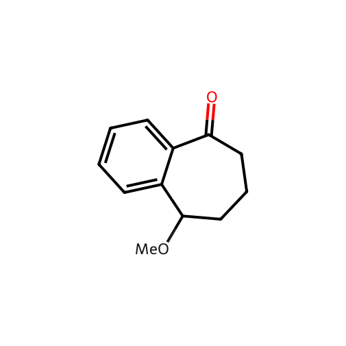 COC1CCCC(=O)c2ccccc21